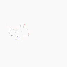 CCCCCCCCCCCC(=O)O[C@@]12CCC(=O)[C@@H]3Oc4c(OC)ccc5c4[C@@]31CCN(C)[C@@H]2C5